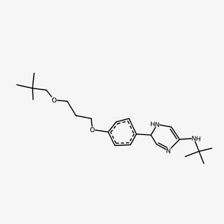 CC(C)(C)COCCCOc1ccc(C2C=NC(NC(C)(C)C)=CN2)cc1